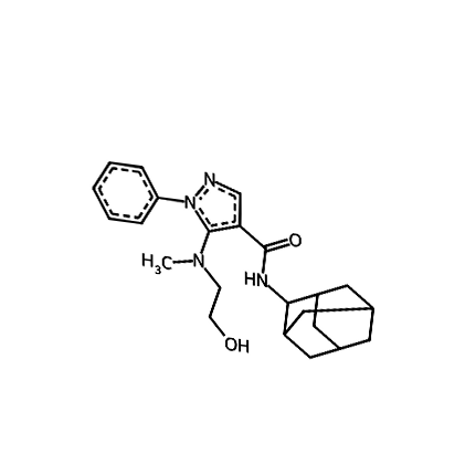 CN(CCO)c1c(C(=O)NC2C3CC4CC(C3)CC2C4)cnn1-c1ccccc1